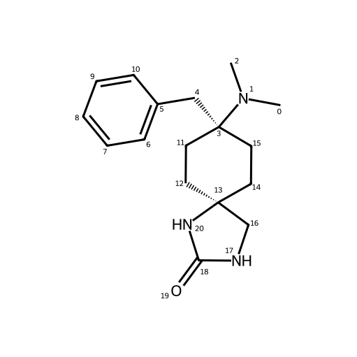 CN(C)[C@]1(Cc2ccccc2)CC[C@]2(CC1)CNC(=O)N2